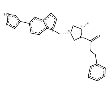 C[C@H]1C[C@@H](Cn2ccc3cc(-c4cn[nH]c4)ccc32)CN1C(=O)CCc1ccccc1